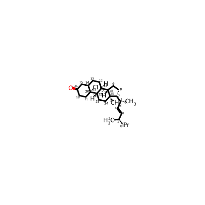 CC(C)[C@@H](C)/C=C/[C@@H](C)[C@H]1CC[C@H]2[C@@H]3CCC4CC(=O)CC[C@]4(C)[C@H]3CC[C@]12C